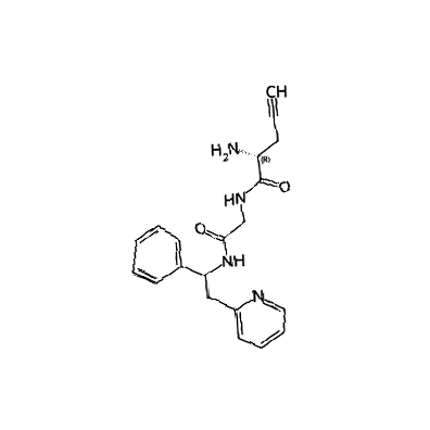 C#CC[C@@H](N)C(=O)NCC(=O)NC(Cc1ccccn1)c1ccccc1